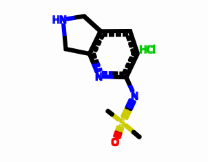 CS(C)(=O)=Nc1ccc2c(n1)CNC2.Cl